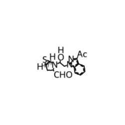 CC(=O)c1nn(CC(O)N2C(C=O)C[C@H]3S[C@H]32)c2ccccc12